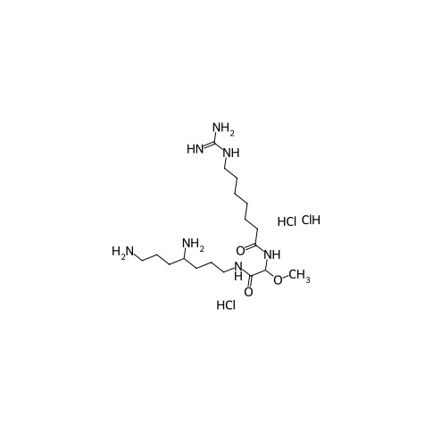 COC(NC(=O)CCCCCCNC(=N)N)C(=O)NCCCC(N)CCCN.Cl.Cl.Cl